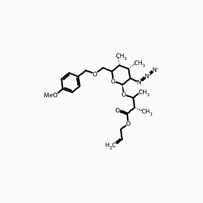 C=CCOC(=O)[C@@H](C)C(C)O[C@H]1OC(COCc2ccc(OC)cc2)[C@H](C)[C@H](C)C1N=[N+]=[N-]